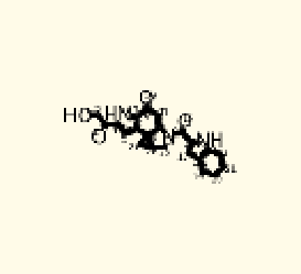 O=C(CO)c1cc2c([nH]1)C(=O)C=C1N(C(=O)c3cc4ccccc4[nH]3)CC3CC123